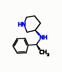 C[C@H](N[C@@H]1CCCNC1)c1ccccc1